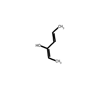 CC=C/C(O)=C\C